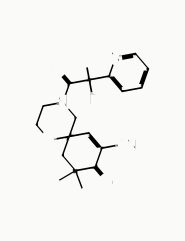 CC1(C)CC2(C=C(C#N)C1=O)CN(C(=O)C(F)(F)c1ccccn1)CCO2